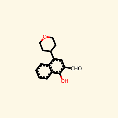 O=Cc1cc(C2CCOCC2)c2ccccc2c1O